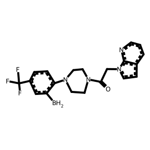 Bc1cc(C(F)(F)F)ccc1N1CCN(C(=O)Cn2ccc3cccnc32)CC1